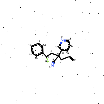 C=CCC(C#N)(CC(F)c1ccccc1)c1cccnc1